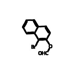 O=COc1ccc2ccccc2c1Br